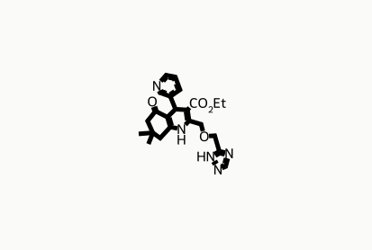 CCOC(=O)C1=C(COCc2ncn[nH]2)NC2=C(C(=O)CC(C)(C)C2)C1c1cccnc1